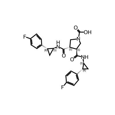 O=C(N[C@H]1C[C@@H]1c1ccc(F)cc1)[C@@H]1CN(C(=O)O)C[C@H]1C(=O)N[C@H]1C[C@@H]1c1ccc(F)cc1